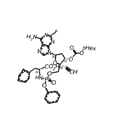 C#C[C@]1(CO[P@@](=O)(N[C@@H](Cc2ccccc2)C(=O)O)Oc2ccccc2)O[C@@H](n2cnc3c(N)nc(F)nc32)C[C@@H]1OC(=O)OCCCCCC